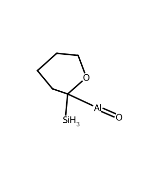 [O]=[Al][C]1([SiH3])CCCCO1